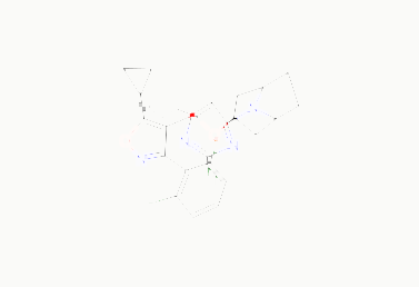 O=C(O)c1cc(N2C3CCC2CC(OCc2c(-c4c(F)cccc4F)noc2C2CC2)C3)nc(Cl)n1